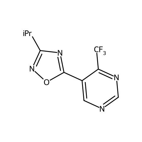 CC(C)c1noc(-c2cncnc2C(F)(F)F)n1